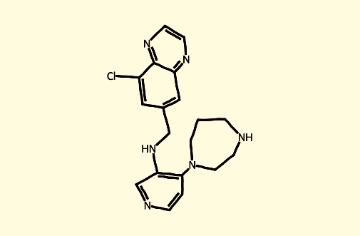 Clc1cc(CNc2cnccc2N2CCCNCC2)cc2nccnc12